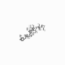 Cc1ccc(C[C@H](N)C(=O)Nc2ncnn3c([C@]4(C#N)O[C@H](COC(=O)[C@@H](N)C(C)C)[C@@H](O)[C@H]4O)ccc23)cc1